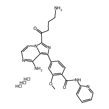 COc1cc(-c2nc(C(=O)CCCN)n3ccnc(N)c23)ccc1C(=O)Nc1ccccn1.Cl.Cl.Cl